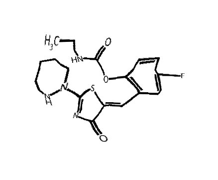 CCNC(=O)Oc1ccc(F)cc1/C=C1\SC(N2CCCCN2)=NC1=O